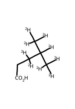 [2H]C([2H])([2H])C([2H])(C([2H])([2H])[2H])C([2H])([2H])CC(=O)O